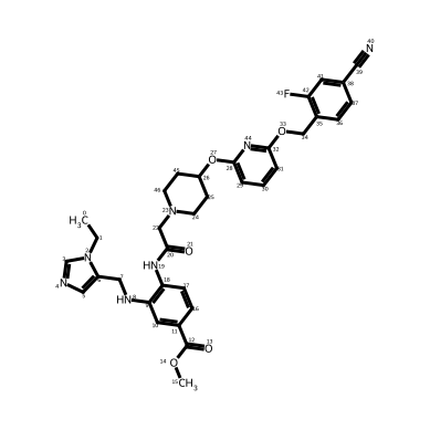 CCn1cncc1CNc1cc(C(=O)OC)ccc1NC(=O)CN1CCC(Oc2cccc(OCc3ccc(C#N)cc3F)n2)CC1